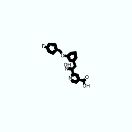 O=C(O)c1ccnc(/C(Cc2cccc(OCc3ccc(F)cc3)c2)=N/O)c1